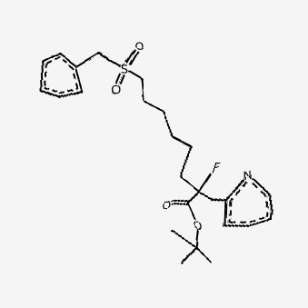 CC(C)(C)OC(=O)C(F)(CCCCCCS(=O)(=O)Cc1ccccc1)c1ccccn1